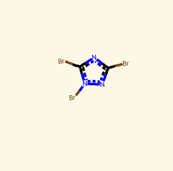 Brc1nc(Br)n(Br)n1